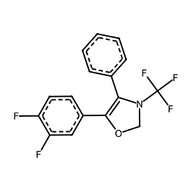 Fc1ccc(C2=C(c3ccccc3)N(C(F)(F)F)CO2)cc1F